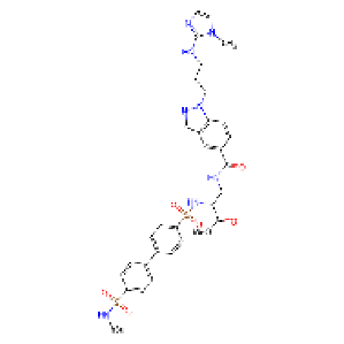 CCCCNS(=O)(=O)c1ccc(-c2ccc(S(=O)(=O)NC(CNC(=O)c3ccc4c(cnn4CCCNc4nccn4C)c3)C(=O)OC)cc2)cc1